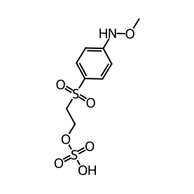 CONc1ccc(S(=O)(=O)CCOS(=O)(=O)O)cc1